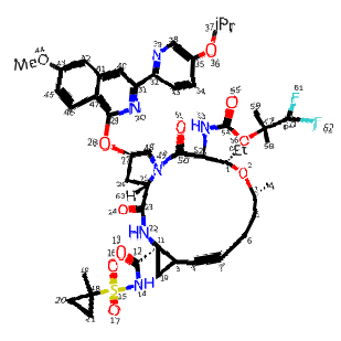 CC[C@@H]1O[C@H](C)CC/C=C\C2C[C@@]2(C(=O)NS(=O)(=O)C2(C)CC2)NC(=O)[C@@H]2C[C@@H](Oc3nc(-c4ccc(OC(C)C)cn4)cc4cc(OC)ccc34)CN2C(=O)[C@H]1NC(=O)OC(C)(C)C(F)F